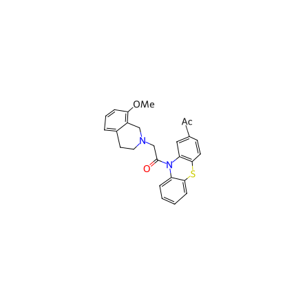 COc1cccc2c1CN(CC(=O)N1c3ccccc3Sc3ccc(C(C)=O)cc31)CC2